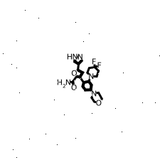 NC(=O)c1oc(-c2cn[nH]c2)cc1-c1ccc(N2CCOCC2)cc1N1CCC(F)(F)CC1